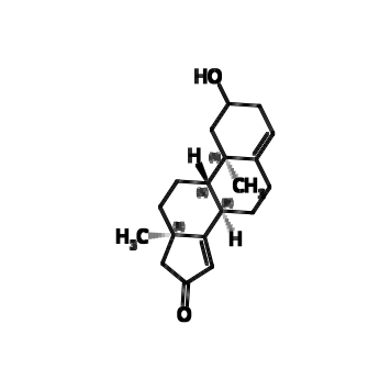 C[C@]12CC[C@H]3[C@@H](CCC4=CCC(O)C[C@@]43C)C1=CC(=O)C2